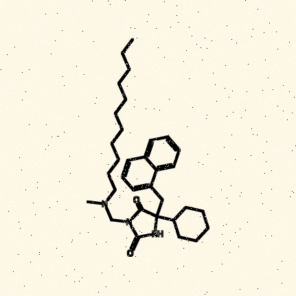 CCCCCCCCCCCN(C)CN1C(=O)NC(Cc2cccc3ccccc23)(C2CCCCC2)C1=O